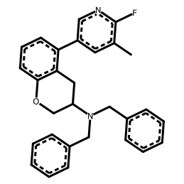 Cc1cc(-c2cccc3c2CC(N(Cc2ccccc2)Cc2ccccc2)CO3)cnc1F